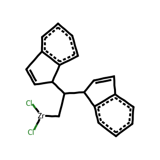 [Cl][Zr]([Cl])[CH2]C(C1C=Cc2ccccc21)C1C=Cc2ccccc21